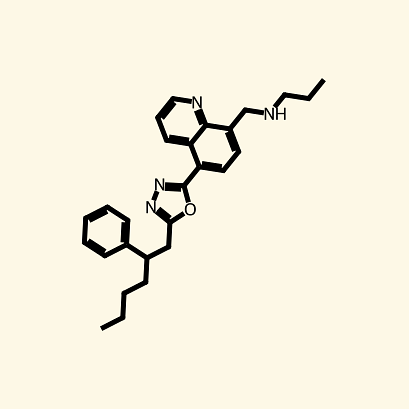 CCCCC(Cc1nnc(-c2ccc(CNCCC)c3ncccc23)o1)c1ccccc1